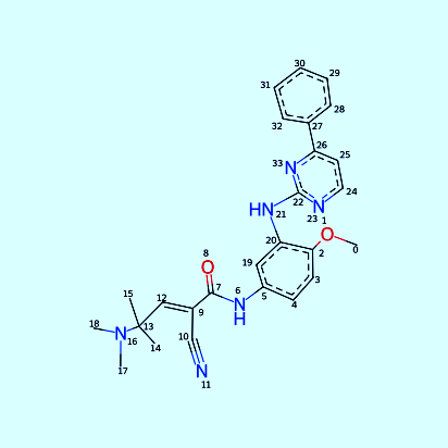 COc1ccc(NC(=O)/C(C#N)=C/C(C)(C)N(C)C)cc1Nc1nccc(-c2ccccc2)n1